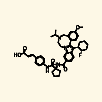 COc1ccc2c(c1)CN(C(C)C)CCn1c-2c([C@H]2CCCC[C@@H]2F)c2ccc(C(=O)NC3(C(=O)Nc4ccc(/C=C/C(=O)O)cc4)CCCC3)cc21